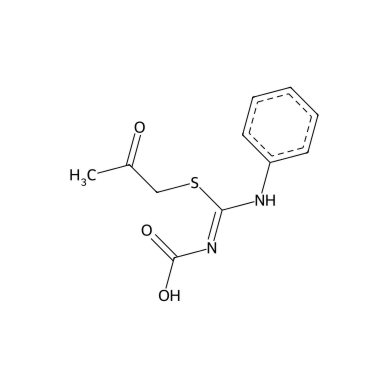 CC(=O)CS/C(=N\C(=O)O)Nc1ccccc1